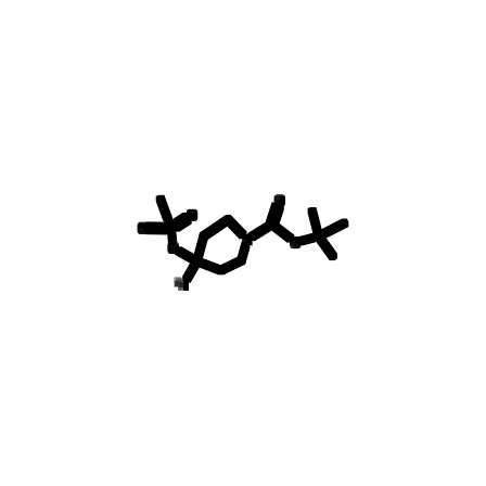 [2H]C1(OS(C)(=O)=O)CCN(C(=O)OC(C)(C)C)CC1